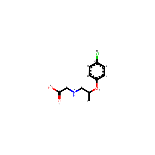 CC(CNCC(=O)O)Oc1ccc(Cl)cc1